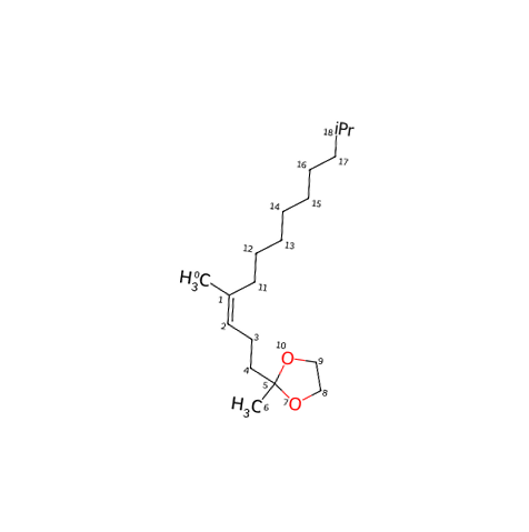 C/C(=C/CCC1(C)OCCO1)CCCCCCCC(C)C